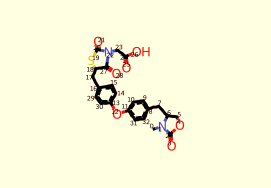 CN1C(=O)OCC1Cc1ccc(Oc2ccc(CC3SC(=O)N(CC(=O)O)C3=O)cc2)cc1